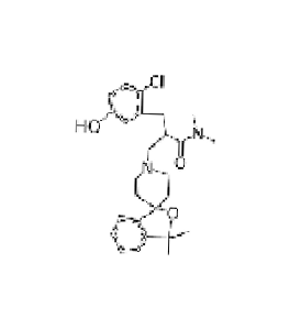 CN(C)C(=O)C(Cc1cc(O)ccc1Cl)CN1CCC2(CC1)OC(C)(C)c1ccccc12